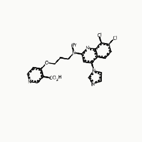 CC(C)N(CCCOc1ccncc1C(=O)O)c1cc(-n2ccnc2)c2ccc(Cl)c(Cl)c2n1